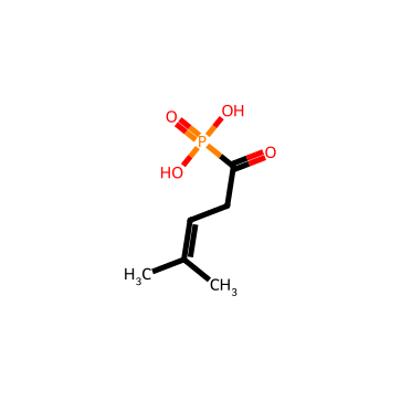 CC(C)=CCC(=O)P(=O)(O)O